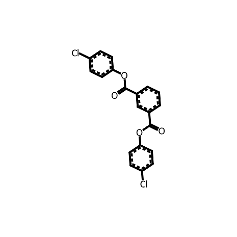 O=C(Oc1ccc(Cl)cc1)c1cccc(C(=O)Oc2ccc(Cl)cc2)c1